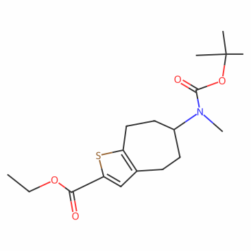 CCOC(=O)c1cc2c(s1)CCC(N(C)C(=O)OC(C)(C)C)CC2